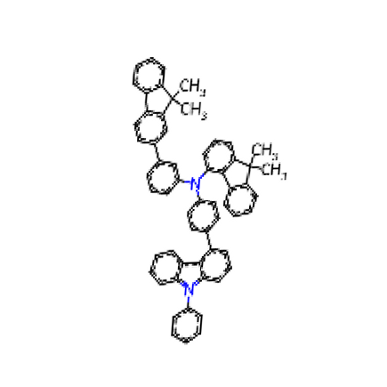 CC1(C)c2ccccc2-c2ccc(-c3cccc(N(c4ccc(-c5cccc6c5c5ccccc5n6-c5ccccc5)cc4)c4cccc5c4-c4ccccc4C5(C)C)c3)cc21